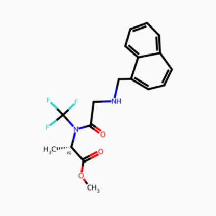 COC(=O)[C@H](C)N(C(=O)CNCc1cccc2ccccc12)C(F)(F)F